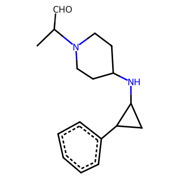 CC(C=O)N1CCC(NC2CC2c2ccccc2)CC1